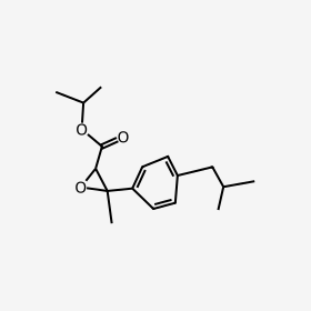 CC(C)Cc1ccc(C2(C)OC2C(=O)OC(C)C)cc1